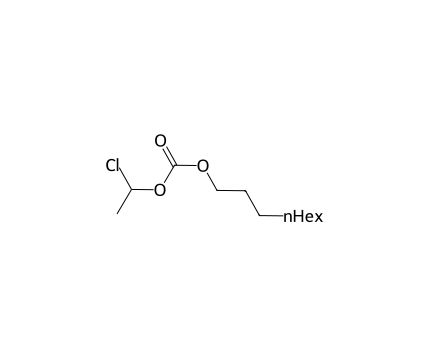 CCCCCCCCCOC(=O)OC(C)Cl